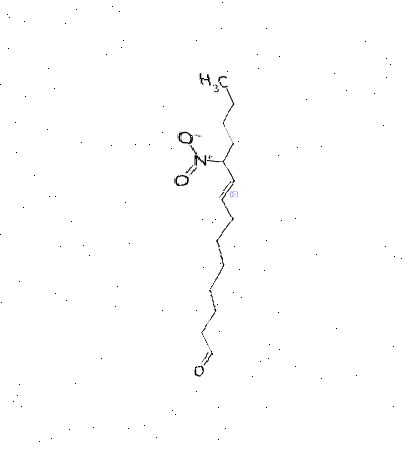 CCCCC(/C=C/CCCCCCC=O)[N+](=O)[O-]